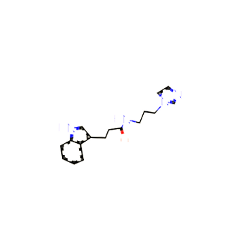 O=C(CCc1c[nH]c2ccccc12)NCCCn1ccnc1